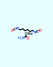 COC(N)=O.O=C=NCCCCCCN=C=O